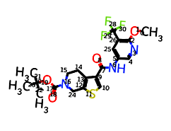 COc1ncc(NC(=O)c2csc3c2CCN(C(=O)OC(C)(C)C)C3)cc1C(F)(F)F